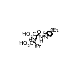 CCOc1ccc2nc(NC(=O)C(CNC(CC(C)C)C(=O)O)C(=O)O)sc2c1